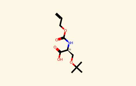 C=CCOC(=O)N[C@@H](COC(C)(C)C)C(=O)O